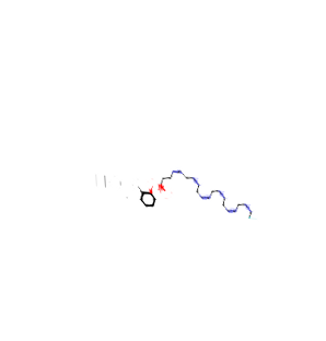 O=C(CC/C=C\C/C=C\C/C=C\C/C=C\C/C=C\C/C=C\CF)Oc1ccccc1C(=O)O